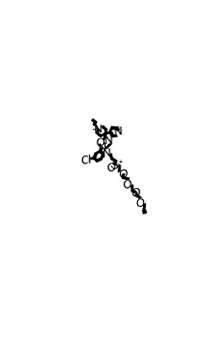 C#CCOCCOCCOCCOCC[S+]([O-])CCCn1c(CN2C(=O)C3(CCN(SCC)CC3)c3ccncc32)nc2cc(Cl)ccc21